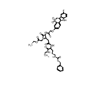 CCNC(=O)C(CCCNC(=O)OCc1ccccc1)NC(=O)CC1C(NC(=O)COc2ccc3c(c2)S(=O)(=O)Cc2c-3[nH]c3ccc(F)cc23)C(=O)N1CC(=O)OCC